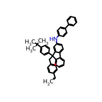 C=Cc1ccc(CC2(c3ccc(C(C)(C)C)cc3)c3ccccc3-c3ccc(Nc4ccc(-c5ccccc5)cc4)cc32)cc1